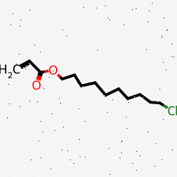 C=CC(=O)OCCCCCCCCCCCl